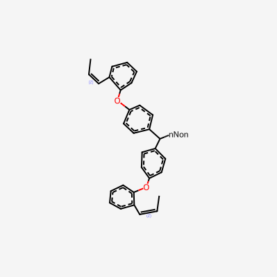 C/C=C\c1ccccc1Oc1ccc(C(CCCCCCCCC)c2ccc(Oc3ccccc3/C=C\C)cc2)cc1